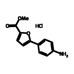 COC(=O)c1ccc(-c2ccc(N)cc2)o1.Cl